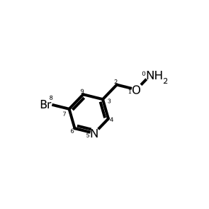 NOCc1cncc(Br)c1